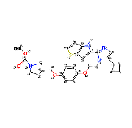 Cn1c(-c2ncc(C3CCC3)n2CCOc2ccc(OC[C@@H]3CCN(C(=O)OC(C)(C)C)C3)cc2)cc2sccc21